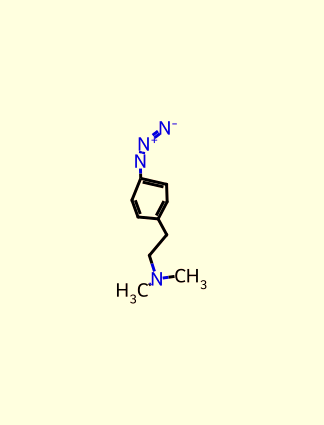 CN(C)CCc1ccc(N=[N+]=[N-])cc1